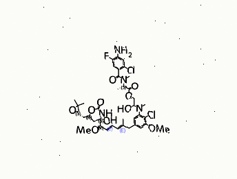 COc1cc(C/C(C)=C/C=C/[C@@H](OC)[C@@]2(O)C[C@@H](C[C@@H]3OC3(C)C)OC(=O)N2)cc(N(C)C(O)COC(=O)[C@H](C)N(C)C(=O)c2cc(F)c(N)cc2Cl)c1Cl